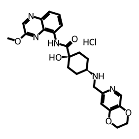 COc1cnc2cccc(NC(=O)[C@]3(O)CC[C@@H](NCc4cc5c(cn4)OCCO5)CC3)c2n1.Cl